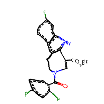 CCOC(=O)C1=CN(C(=O)c2ccc(F)cc2F)CCc2c1[nH]c1cc(F)ccc21